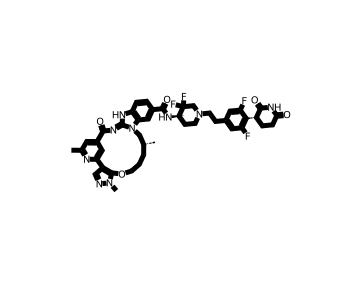 Cc1cc2cc(n1)-c1cnn(C)c1OCCC[C@@H](C)CN1/C(=N/C2=O)Nc2ccc(C(=O)N[C@@H]3CCN(CCc4cc(F)c([C@H]5CCC(=O)NC5=O)c(F)c4)CC3(F)F)cc21